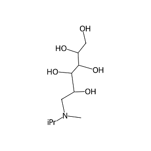 CC(C)N(C)CC(O)C(O)C(O)C(O)CO